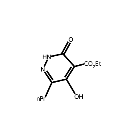 CCCc1n[nH]c(=O)c(C(=O)OCC)c1O